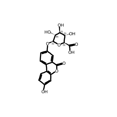 O=C(O)[C@H]1O[C@@H](Oc2ccc3c(c2)c(=O)oc2cc(O)ccc23)[C@H](O)[C@@H](O)[C@@H]1O